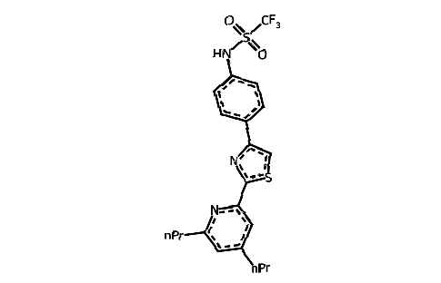 CCCc1cc(CCC)nc(-c2nc(-c3ccc(NS(=O)(=O)C(F)(F)F)cc3)cs2)c1